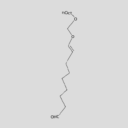 CCCCCCCCOCOC=CCCCCCCC=O